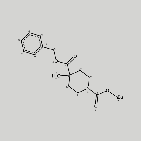 CCCCOC(=O)N1CCC(C)(C(=O)OCc2ccccc2)CC1